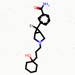 CCC1(c2cccc(C(N)=O)c2)C2CN(CCCC3(O)CCCCC3)CC21